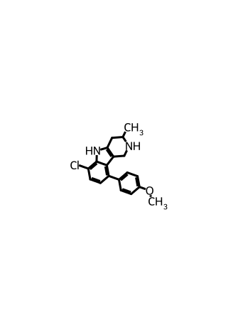 COc1ccc(-c2ccc(Cl)c3[nH]c4c(c23)CNC(C)C4)cc1